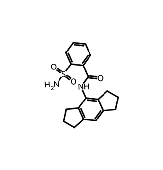 NS(=O)(=O)c1ccccc1C(=O)Nc1c2c(cc3c1CCC3)CCC2